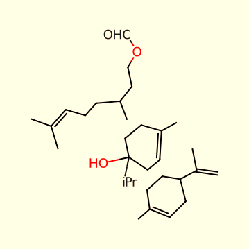 C=C(C)C1CC=C(C)CC1.CC(C)=CCCC(C)CCOC=O.CC1=CCC(O)(C(C)C)CC1